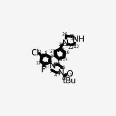 CC(C)(C)C(=O)N1CCN(c2ccc(Cl)cc2F)[C@H](c2ccc(CN3CCNCC3)cc2)C1